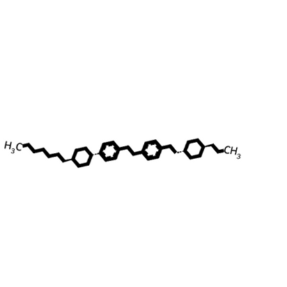 CCCCCCC[C@H]1CC[C@H](c2ccc(CCc3ccc(CC[C@H]4CC[C@H](CCC)CC4)cc3)cc2)CC1